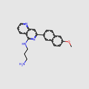 COc1ccc2cc(-c3cc4ncccc4c(NCCCN)n3)ccc2c1